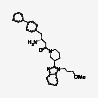 COCCCn1c([C@@H]2CCCN(C(=O)C[C@H](N)Cc3ccc(-c4ccccc4)cc3)C2)nc2ccccc21